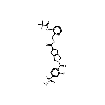 CC(C)(C)C(=O)Nc1cccnc1COC(=O)N1CC2=C(C1)CN(C(=O)c1ccc(S(N)(=O)=O)cc1F)C2